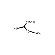 CCCCOC(CCC)OC